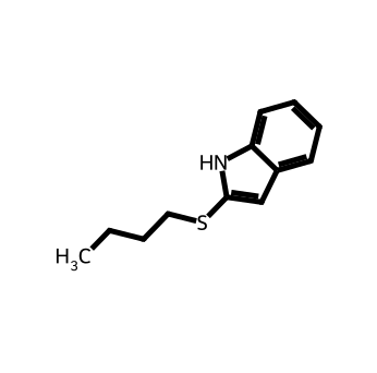 CCCCSc1cc2ccccc2[nH]1